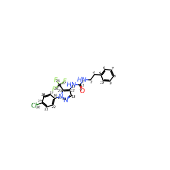 O=C(NCCc1ccccc1)Nc1cnn(-c2ccc(Cl)cc2)c1C(F)(F)F